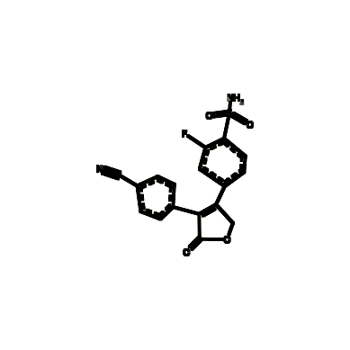 N#Cc1ccc(C2=C(c3ccc(S(N)(=O)=O)c(F)c3)COC2=O)cc1